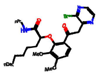 CCCCCCCCCCCCCCC(Oc1c(C(=O)Cc2nccnc2Br)ccc(OC)c1OC)C(=O)NCCC